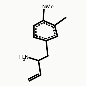 C=CC(N)Cc1ccc(NC)c(C)c1